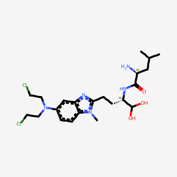 CC(C)C[C@H](N)C(=O)N[C@@H](CCc1nc2cc(N(CCCl)CCCl)ccc2n1C)C(O)O